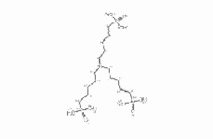 O=P(O)(O)CCCCCN(CCCCCP(=O)(O)O)CCCCCP(=O)(O)O